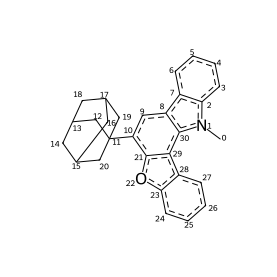 Cn1c2ccccc2c2cc(C34CC5CC(CC(C5)C3)C4)c3oc4ccccc4c3c21